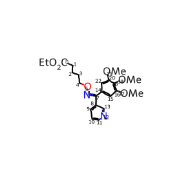 CCOC(=O)CCCCON=C(c1cccnc1)c1cc(OC)c(OC)c(OC)c1